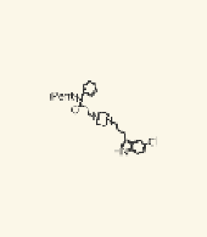 CCCC(C)N(C(=O)CCN1CCN(CCCc2c[nH]c3ccc(Cl)cc23)CC1)c1ccccc1